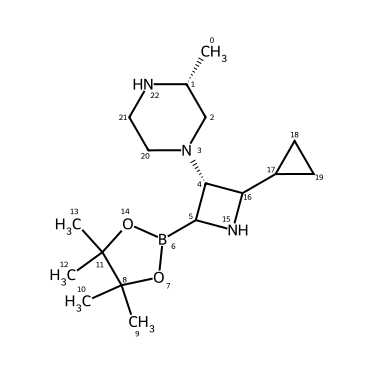 C[C@@H]1CN([C@H]2C(B3OC(C)(C)C(C)(C)O3)NC2C2CC2)CCN1